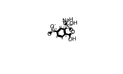 O=C(O)c1ccc([N+](=O)[O-])cc1S(=O)(=O)O.[NaH]